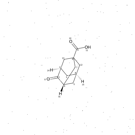 O=C1[C@@H]2C[C@@H]3C[C@H]1CC(C(=O)O)(C3)C2